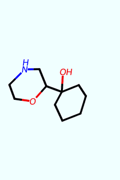 OC1(C2CNCCO2)CCCCC1